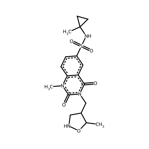 CC1ONCC1Cn1c(=O)c2cc(S(=O)(=O)NC3(C)CC3)ccc2n(C)c1=O